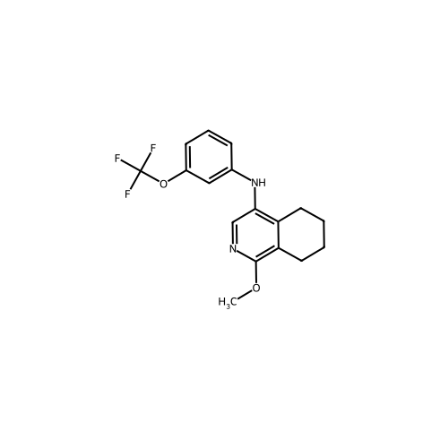 COc1ncc(Nc2cccc(OC(F)(F)F)c2)c2c1CCCC2